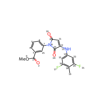 COC(=O)c1cccc(N2C(=O)C=C(Nc3cc(F)c(C)c(F)c3)C2=O)c1